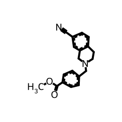 COC(=O)c1ccc(CN2CCc3ccc(C#N)cc3C2)cc1